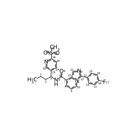 CCCC(NC(=O)c1cccn2c(-c3ccc(F)cc3)ncc12)c1ccc(S(C)(=O)=O)nc1